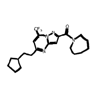 O=C(c1cc2nc(CCC3CCCC3)cc(C(F)(F)F)n2n1)N1CCCCCC1